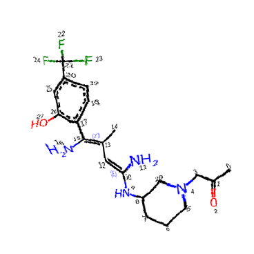 CC(=O)CN1CCCC(N/C(N)=C/C(C)=C(\N)c2ccc(C(F)(F)F)cc2O)C1